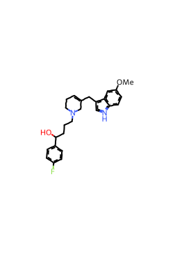 COc1ccc2[nH]cc(CC3=CCCN(CCCC(O)c4ccc(F)cc4)C3)c2c1